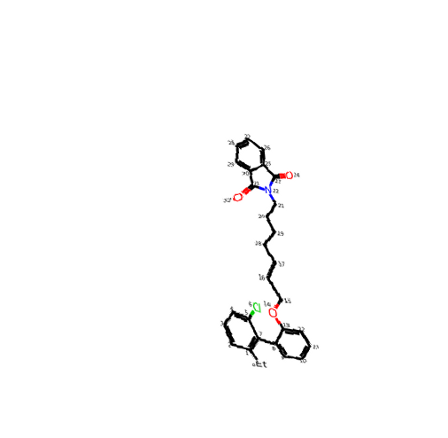 CCc1cccc(Cl)c1-c1ccccc1OCCCCCCCN1C(=O)c2ccccc2C1=O